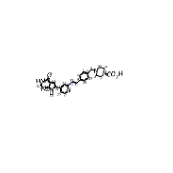 O=C(O)N1CCN(Cc2ccc(/C=C/c3cc(-c4cc5c(=O)[nH]cnc5[nH]4)ccn3)cc2)CC1